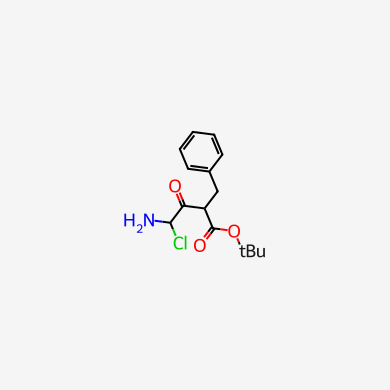 CC(C)(C)OC(=O)C(Cc1ccccc1)C(=O)C(N)Cl